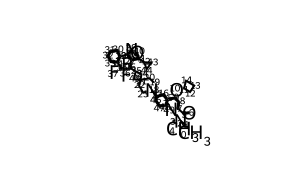 CCN(CC)C(=O)c1cc(OC2CCC2)c2cc(N3CCC4(CC3)CC(Cc3c(-c5ccccc5C(F)(F)F)noc3C3CC3)C4)ccc2n1